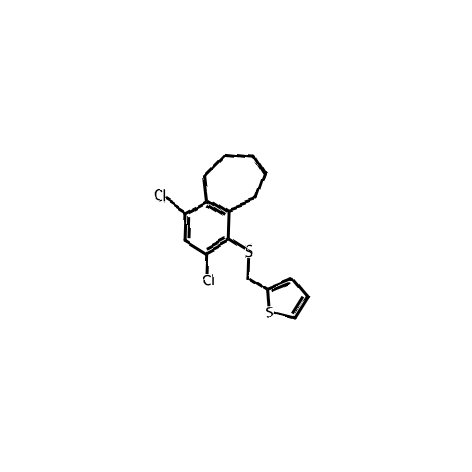 Clc1cc(Cl)c(SCc2cccs2)c2c1CCCCC2